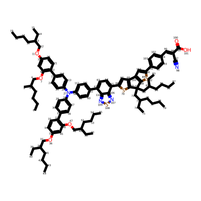 CCCCC(C)COc1cc(OCC(CC)CCCC)ccc1-c1ccc(N(c2ccc(-c3ccc(OCC(CC)CCCC)cc3OCC(CC)CCCC)cc2)c2ccc(-c3ccc(-c4cc5c(s4)C(CC(CC)CCCC)(CC(CC)CCCC)c4sc(-c6ccc(/C=C(\C#N)C(=O)O)cc6)cc4-5)c4nsnc34)cc2)cc1